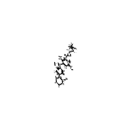 C[C@H]1CCCCN1c1ccc(Nc2cc(Cl)nn(COCC[Si](C)(C)C)c2=O)nc1